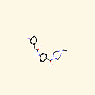 CCN1CCN(C(=O)c2ccc(NC(=O)Cc3cccc(I)c3)cc2)CC1